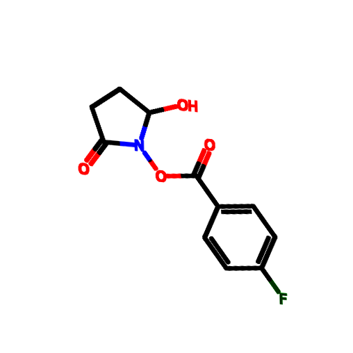 O=C(ON1C(=O)CCC1O)c1ccc(F)cc1